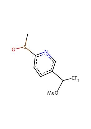 COC(c1ccc([S+](C)[O-])nc1)C(F)(F)F